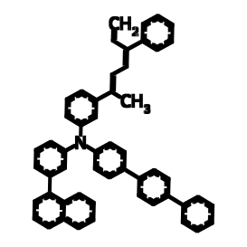 C=C/C(=C\C=C(/C)c1cccc(N(c2ccc(-c3ccc(-c4ccccc4)cc3)cc2)c2cccc(-c3cccc4ccccc34)c2)c1)c1ccccc1